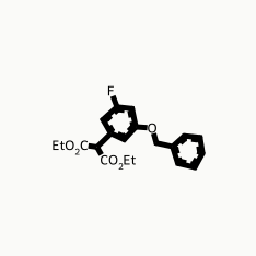 CCOC(=O)C(C(=O)OCC)c1cc(F)cc(OCc2ccccc2)c1